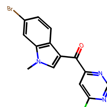 Cn1cc(C(=O)c2cc(Cl)ncn2)c2ccc(Br)cc21